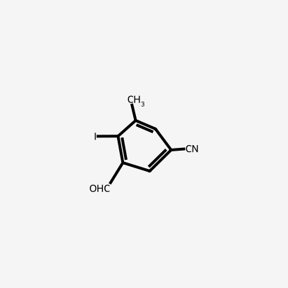 Cc1cc(C#N)cc(C=O)c1I